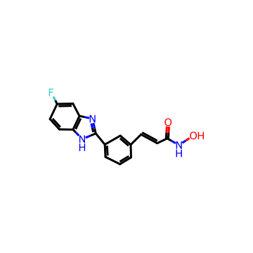 O=C(/C=C/c1cccc(-c2nc3cc(F)ccc3[nH]2)c1)NO